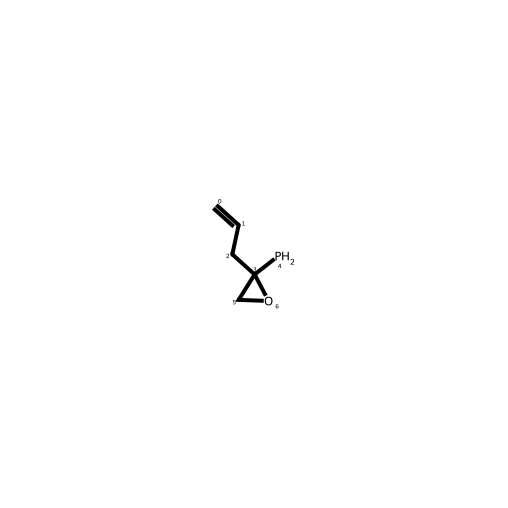 C=CCC1(P)CO1